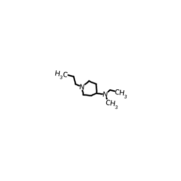 CCCN1CCC(N(C)CC)CC1